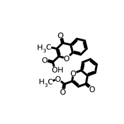 COC(=O)c1cc(=O)c2ccccc2o1.Cc1c(C(=O)O)oc2ccccc2c1=O